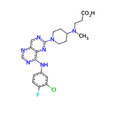 CN(CCC(=O)O)C1CCN(c2ncc3ncnc(Nc4ccc(F)c(Cl)c4)c3n2)CC1